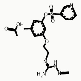 C=NNC(N)=NCCOc1cc(C)cc(OS(=O)(=O)c2cccnc2)c1.CC(=O)O